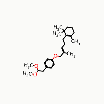 COC(Cc1ccc(OCC(C)=CCCC2=C(C)CCCC2(C)C)cc1)OC